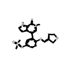 Cn1cc(-c2cc(N=S(C)(C)=O)ccc2OCC2CCOC2)c2cc[nH]c2c1=O